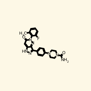 Cc1cccc(F)c1-n1nc2c(-c3ccc(N4CCN(C(N)=O)CC4)cc3)n[nH]c2cc1=O